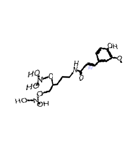 COc1cc(/C=C/C(=O)NCCCC(CON(O)O)ON(O)O)ccc1O